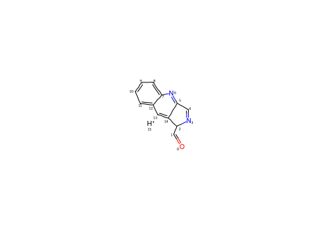 O=CC1N=Cc2nc3ccccc3cc21.[H+]